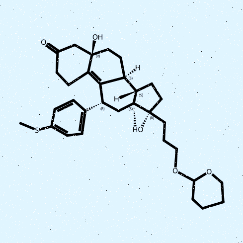 CSc1ccc([C@H]2C[C@@]3(C)[C@@H](CC[C@@]3(O)CCCOC3CCCCO3)[C@@H]3CC[C@@]4(O)CC(=O)CCC4=C32)cc1